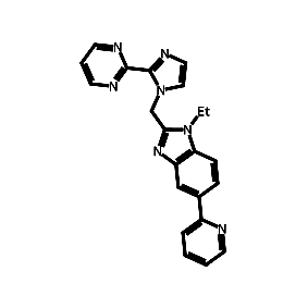 CCn1c(Cn2ccnc2-c2ncccn2)nc2cc(-c3ccccn3)ccc21